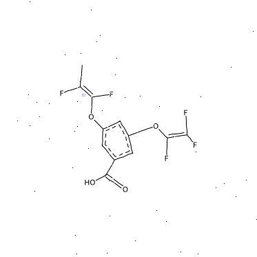 C/C(F)=C(\F)Oc1cc(OC(F)=C(F)F)cc(C(=O)O)c1